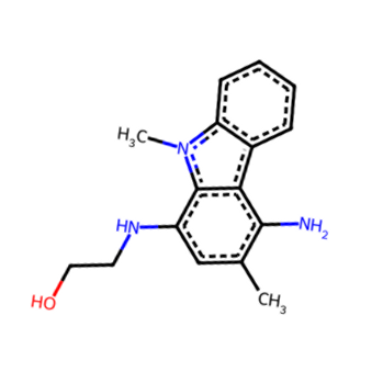 Cc1cc(NCCO)c2c(c1N)c1ccccc1n2C